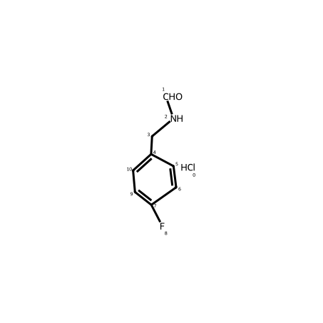 Cl.O=CNCc1ccc(F)cc1